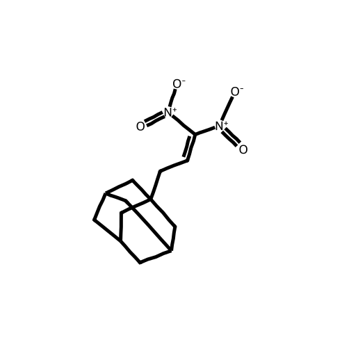 O=[N+]([O-])C(=CCC12CC3CC(CC(C3)C1)C2)[N+](=O)[O-]